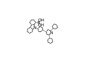 OB(O)c1cccc2c3ccccc3n(-c3ccc(-c4cc(-c5ccccc5)nc(-c5ccccc5)c4)cc3)c12